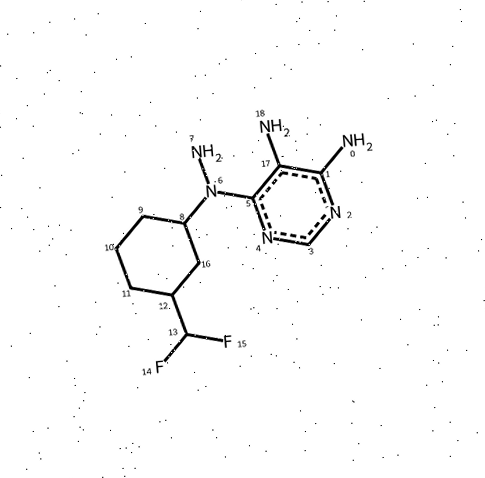 Nc1ncnc(N(N)C2CCCC(C(F)F)C2)c1N